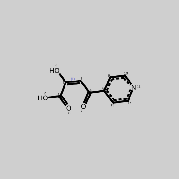 O=C(O)/C(O)=C\C(=O)c1ccncc1